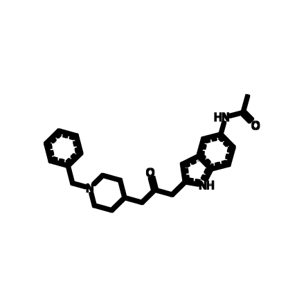 CC(=O)Nc1ccc2[nH]c(CC(=O)CC3CCN(Cc4ccccc4)CC3)cc2c1